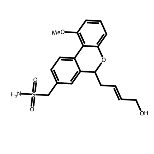 COc1cccc2c1-c1ccc(CS(N)(=O)=O)cc1C(C/C=C/CO)O2